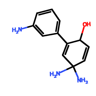 Nc1cccc(C2=CC(N)(N)C=CC2O)c1